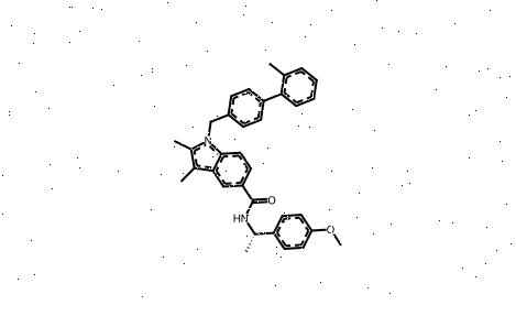 COc1ccc([C@H](C)NC(=O)c2ccc3c(c2)c(C)c(C)n3Cc2ccc(-c3ccccc3C)cc2)cc1